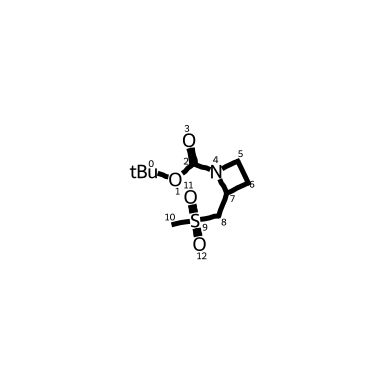 CC(C)(C)OC(=O)N1CCC1CS(C)(=O)=O